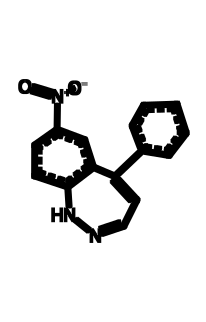 O=[N+]([O-])c1ccc2c(c1)C(c1ccccc1)=CC=NN2